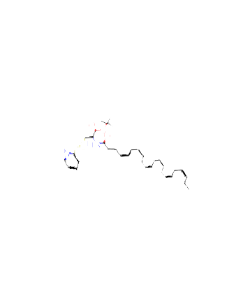 CC/C=C\C/C=C\C/C=C\C/C=C\C/C=C\C/C=C\CCC(=O)NC(CSSc1ccccn1)C(=O)OC(C)(C)C